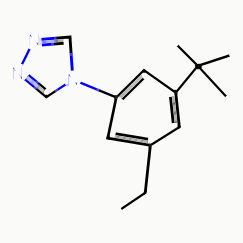 CCc1cc(-n2cnnc2)cc(C(C)(C)C)c1